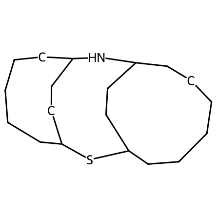 C1CCCC2CCC(CC1)NC1CCCCCC(CC1)S2